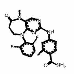 Cc1cc(Nc2ncc3c(n2)N(c2c(F)cccc2F)CCC(=O)N3C)ccc1C(N)=O